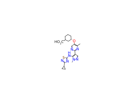 Cc1nc(-c2cnn(C)c2Nc2nc(C3CC3)ns2)ncc1O[C@H]1CCC[C@H](C(=O)O)C1